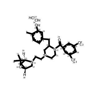 Cc1ccc(CC2CN(CCN3C[C@H]4C[C@H]3C(C)(C)O4)CCN2C(=O)c2cc(C(F)(F)F)cc(C(F)(F)F)c2)cc1O.Cl.Cl